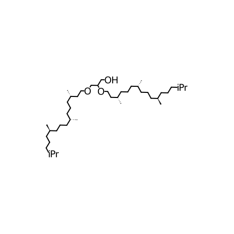 CC(C)CCC[C@@H](C)CCC[C@@H](C)CCC[C@H](C)CCOCC(CO)OCC[C@@H](C)CCC[C@H](C)CCC[C@H](C)CCCC(C)C